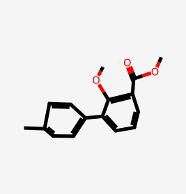 COC(=O)c1cccc(-c2ccc(C)cc2)c1OC